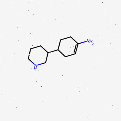 NC1=CCC(C2CCCNC2)CC1